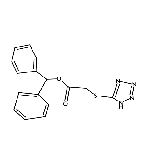 O=C(CSc1nnn[nH]1)OC(c1ccccc1)c1ccccc1